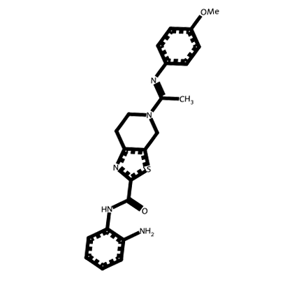 COc1ccc(/N=C(\C)N2CCc3nc(C(=O)Nc4ccccc4N)sc3C2)cc1